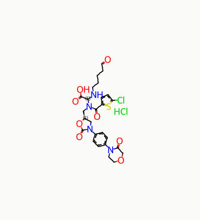 Cl.O=CCCCCN[C@H](C(=O)O)N(C[C@H]1CN(c2ccc(N3CCOCC3=O)cc2)C(=O)O1)C(=O)c1ccc(Cl)s1